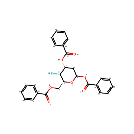 O=C(OC[C@H]1OC(OC(=O)c2ccccc2)C[C@@H](OC(=O)c2ccccc2)[C@@H]1F)c1ccccc1